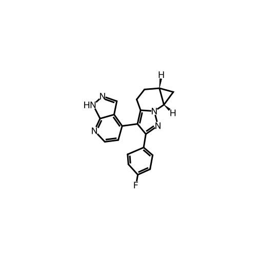 Fc1ccc(-c2nn3c(c2-c2ccnc4[nH]ncc24)CC[C@@H]2C[C@@H]23)cc1